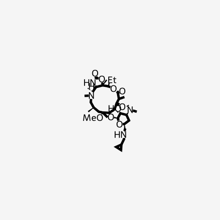 CC[C@H]1OC(=O)C(C)C(=O)[C@H](C)[C@@H](O[C@@H]2O[C@H](CNCC3CC3)C[C@H](N(C)C)[C@H]2O)[C@](C)(OC)C[C@@H](C)CN(C)[C@H](C)[C@H]2NC(=O)O[C@@]21C